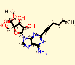 CCCCC#Cc1nc(N)c2ncn([C@@H]3O[C@@](CO)(C(=O)OC)C(O)C3O)c2n1